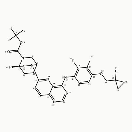 CC(C)(C)OC(=O)N1CC2CC[C@H]1CN2c1ccc2ncnc(Nc3ccc(OCC4(F)CC4)c(F)c3F)c2n1